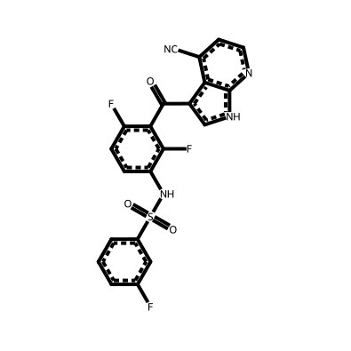 N#Cc1ccnc2[nH]cc(C(=O)c3c(F)ccc(NS(=O)(=O)c4cccc(F)c4)c3F)c12